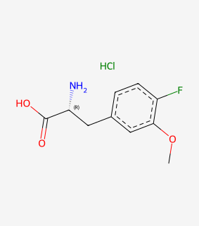 COc1cc(C[C@@H](N)C(=O)O)ccc1F.Cl